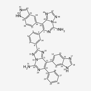 Nc1nc(-c2cccc(-c3nc4c(-c5ccc6nc[nH]c6c5)c(-c5ccccc5)nc(N)n4n3)c2)c(-c2ccc3[nH]ncc3c2)c2ncnn12